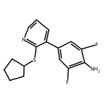 Nc1c(F)cc(-c2cccnc2SC2CCCC2)cc1F